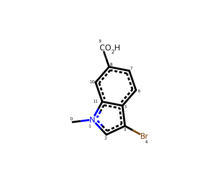 Cn1cc(Br)c2ccc(C(=O)O)cc21